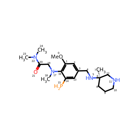 COc1cc(CN[C@]2(C)CCCNC2)cc(P)c1N(C)CC(=O)N(C)C